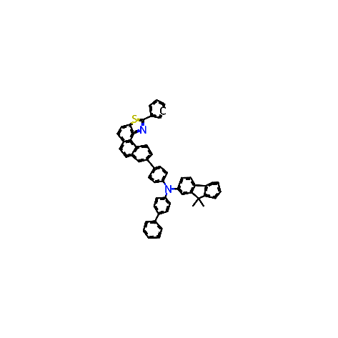 CC1(C)c2ccccc2-c2ccc(N(c3ccc(-c4ccccc4)cc3)c3ccc(-c4ccc5c(ccc6ccc7sc(-c8ccccc8)nc7c65)c4)cc3)cc21